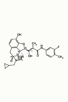 C/C(C(=O)Nc1ccc(C)c(F)c1)=C(/O)[C@@H]1Oc2c(O)ccc3c2[C@@]12CCN(CC1CC1)[C@H](C3)[C@@]2(C)O